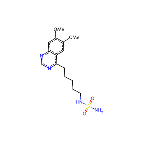 COc1cc2ncnc(CCCCCNS(N)(=O)=O)c2cc1OC